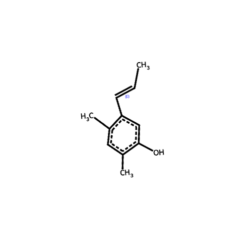 C/C=C/c1cc(O)c(C)cc1C